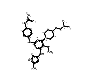 COc1c(Nc2cc(C)[nH]n2)nc(Sc2ccc(NC(C)=O)cc2)nc1N1CCC(CCN(C)C)CC1